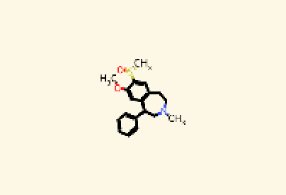 COc1cc2c(cc1[S+](C)[O-])CCN(C)CC2c1ccccc1